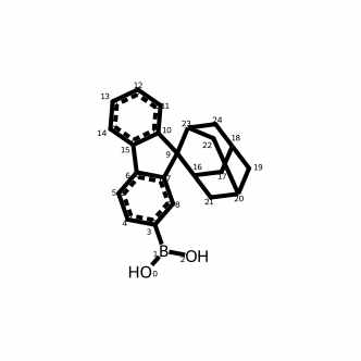 OB(O)c1ccc2c(c1)C1(c3ccccc3-2)C2CC3CC(C2)CC1C3